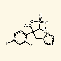 CC(=O)OC(Cn1cncn1)(c1ccc(F)cc1F)C(C)S(=O)(=O)Cl